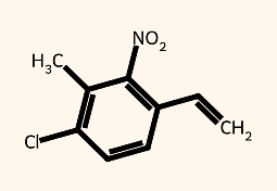 C=Cc1ccc(Cl)c(C)c1[N+](=O)[O-]